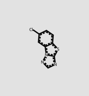 Clc1ccc2sc3ncnn3c2c1